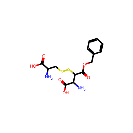 NC(CSSC(C(=O)OCc1ccccc1)C(N)C(=O)O)C(=O)O